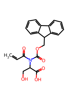 C=CC(=O)N(C(=O)OCC1c2ccccc2-c2ccccc21)C(CO)C(=O)O